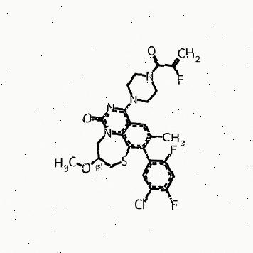 C=C(F)C(=O)N1CCN(c2nc(=O)n3c4c(c(-c5cc(Cl)c(F)cc5F)c(C)cc24)SC[C@@H](OC)C3)CC1